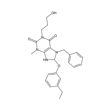 CCc1cccc(OC2Nc3c(c(=O)n(CCCO)c(=O)n3C)N2Cc2ccccc2)c1